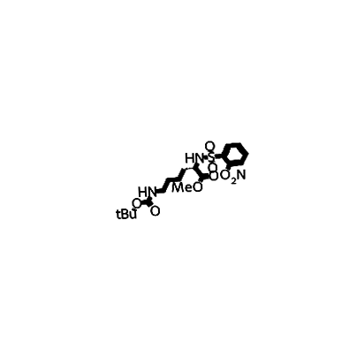 COC(=O)[C@H](CCCCNC(=O)OC(C)(C)C)NS(=O)(=O)c1ccccc1[N+](=O)[O-]